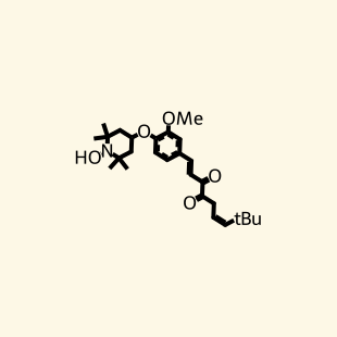 COc1cc(/C=C/C(=O)C(=O)C/C=C\C(C)(C)C)ccc1OC1CC(C)(C)N(O)C(C)(C)C1